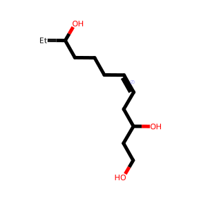 CCC(O)CCC/C=C\CC(O)CCO